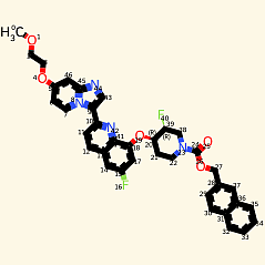 COCCOc1ccn2c(-c3ccc4cc(F)cc(O[C@@H]5CCN(C(=O)OCc6ccc7ccccc7c6)C[C@H]5F)c4n3)cnc2c1